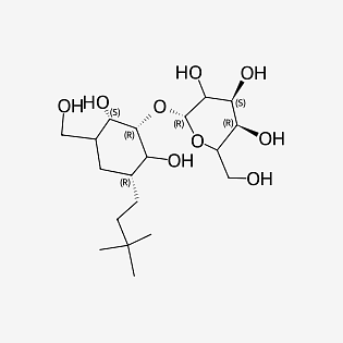 CC(C)(C)CC[C@@H]1CC(CO)[C@H](O)[C@H](O[C@H]2OC(CO)[C@H](O)[C@H](O)C2O)C1O